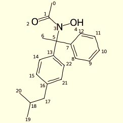 CC(=O)N(O)C(C)(c1ccccc1)c1ccc(CC(C)C)cc1